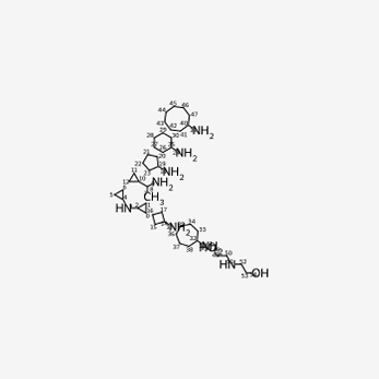 C1CC1NC1CC1.CC(N)C1CC1.NC1CCC1.NC1CCCC1.NC1CCCCC1.NC1CCCCCC1.NC1CCCCCCC1.OCCNCCO